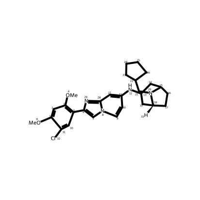 COc1cc(OC)c(-c2cn3ccc(NC4CC5CC[C@H](C4)N5CC4CCCC4)cc3n2)cc1Cl